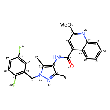 COc1cc(C(=O)Nc2c(C)nn(Cc3cc(F)ccc3F)c2C)c2ccccc2n1